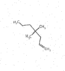 C=CCC(C)(C)CCC